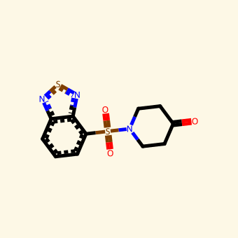 O=C1CCN(S(=O)(=O)c2cccc3nsnc23)CC1